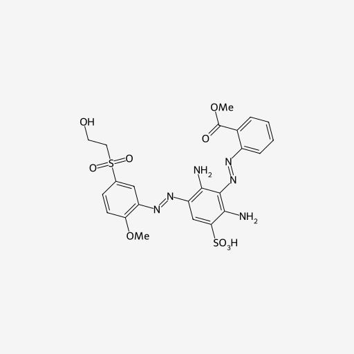 COC(=O)c1ccccc1/N=N/c1c(N)c(/N=N/c2cc(S(=O)(=O)CCO)ccc2OC)cc(S(=O)(=O)O)c1N